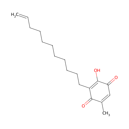 C=CCCCCCCCCCC1=C(O)C(=O)C=C(C)C1=O